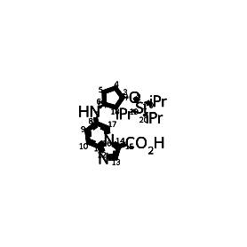 CC(C)[Si](O[C@H]1CC[C@H](Nc2ccc3ncc(C(=O)O)n3c2)C1)(C(C)C)C(C)C